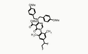 COC(=O)c1c(N(Cc2ccc(OC)cc2)Cc2ccc(OC)cc2)ncn(-c2c(C)cc(C(F)CF)cc2C)c1=O